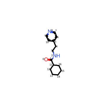 O=C(NCCc1ccncc1)C1CCCCC1